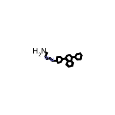 NC/C=C\C=C\C1CCC(C2=C3C=CC=CC3C(C3CCCCC3)CC2)CC1